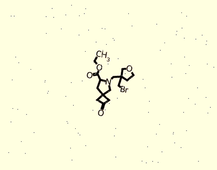 CCOC(=O)C1CC2(CC(=O)C2)CN1CC1(CBr)CCOC1